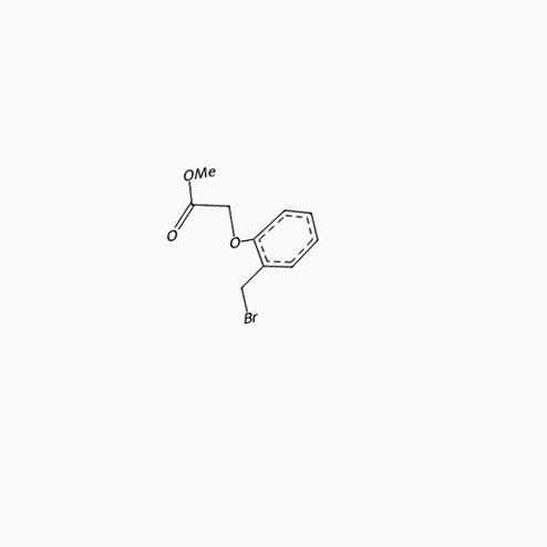 COC(=O)COc1ccccc1CBr